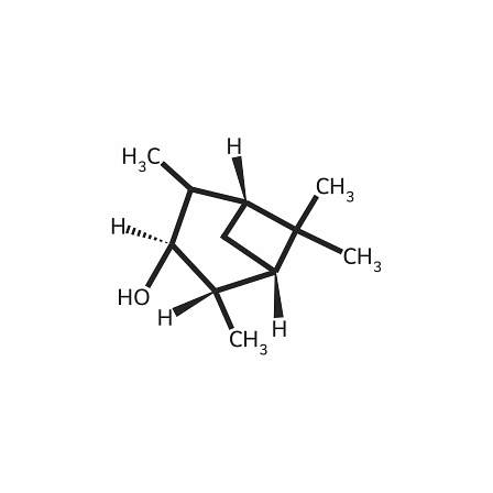 CC1[C@H]2C[C@@H]([C@H](C)[C@H]1O)C2(C)C